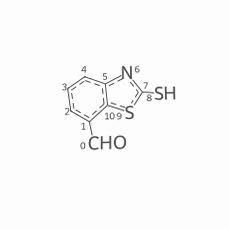 O=Cc1cccc2nc(S)sc12